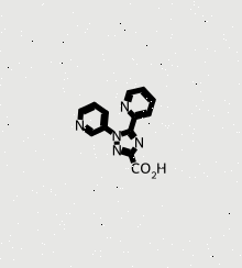 O=C(O)c1nc(-c2ccccn2)n(-c2cccnc2)n1